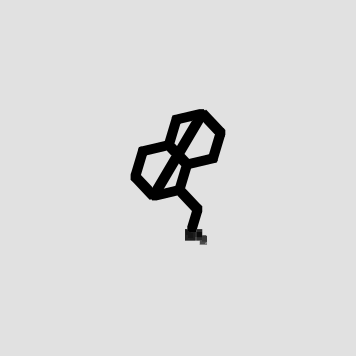 NCC1C2CCC3CC2CCC31